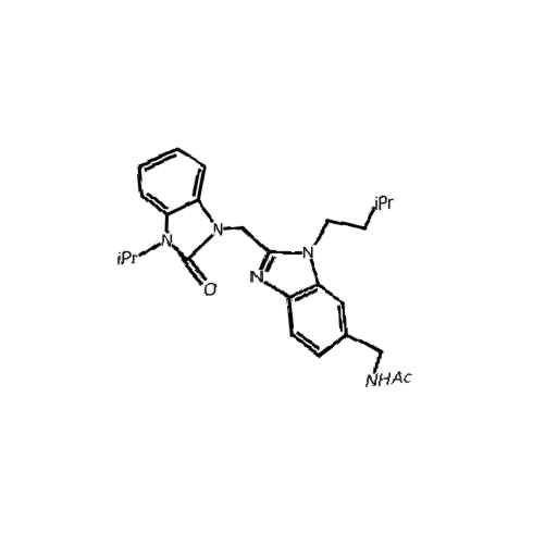 CC(=O)NCc1ccc2nc(Cn3c(=O)n(C(C)C)c4ccccc43)n(CCC(C)C)c2c1